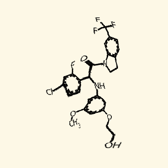 COc1cc(NC(C(=O)N2CCc3ccc(C(F)(F)F)cc32)c2ccc(Cl)cc2F)cc(OCCO)c1